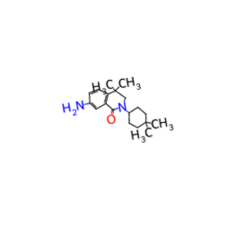 CC1(C)CCC(N2CC(C)(C)c3ccc(N)cc3C2=O)CC1